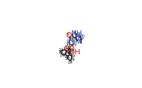 C[N+]1(C(C(N)=O)c2cnccn2)CCC(OC(=O)C2(O)c3ccccc3-c3ccccc32)CC1